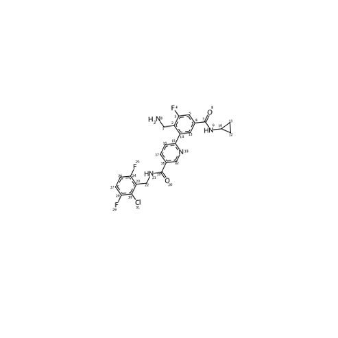 NCc1c(F)cc(C(=O)NC2CC2)cc1-c1ccc(C(=O)NCc2c(F)ccc(F)c2Cl)cn1